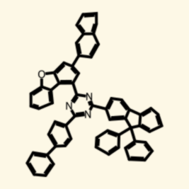 c1ccc(-c2ccc(-c3nc(-c4ccc5c(c4)C(c4ccccc4)(c4ccccc4)c4ccccc4-5)nc(-c4cc(-c5ccc6ccccc6c5)cc5oc6ccccc6c45)n3)cc2)cc1